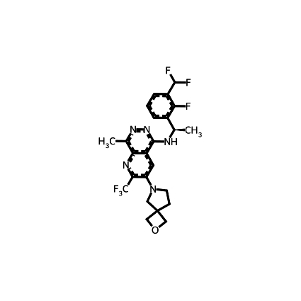 Cc1nnc(N[C@H](C)c2cccc(C(F)F)c2F)c2cc(N3CCC4(COC4)C3)c(C(F)(F)F)nc12